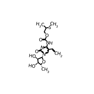 C=Cc1cn([C@@H]2O[C@H](C)[C@@H](O)[C@H]2O)c(=O)nc1NC(=O)OCC(C)SC